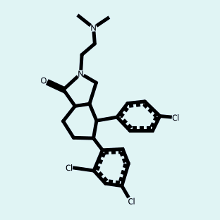 CN(C)CCN1CC2C(CCC(c3ccc(Cl)cc3Cl)C2c2ccc(Cl)cc2)C1=O